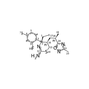 CC[C@]1(c2ccc(I)cc2F)N=C(N)SC[C@@H]1C[C@@H](C)c1nc(C)no1